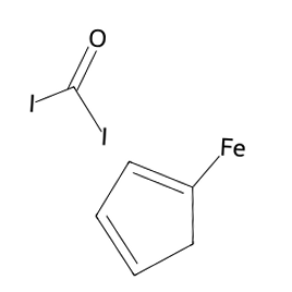 O=C(I)I.[Fe][C]1=CC=CC1